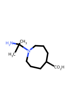 CC(C)(N)N1CCCC(C(=O)O)CCC1